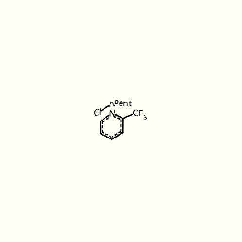 CCCCCCl.FC(F)(F)c1ccccn1